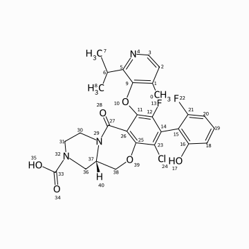 Cc1ccnc(C(C)C)c1Oc1c(F)c(-c2c(O)cccc2F)c(Cl)c2c1C(=O)N1CCN(C(=O)O)C[C@H]1CO2